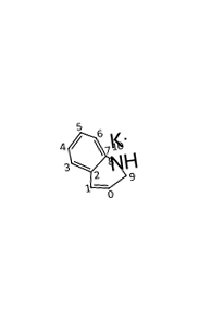 C1=Cc2ccccc2NC1.[K]